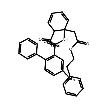 COC(=O)C1C=CC=CC1(CC(=O)OCCc1ccccc1)NC(=O)c1cc(C(F)(F)F)ccc1-c1ccccc1